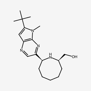 Cn1c(C(C)(C)C)cc2ncc([C@@H]3CCCCC[C@H](CO)N3)nc21